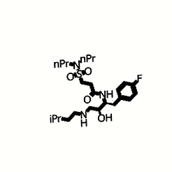 CCCN(CCC)S(=O)(=O)CCC(=O)N[C@@H](Cc1ccc(F)cc1)[C@@H](O)CNCCC(C)C